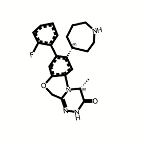 C[C@@H]1C(=O)NN=C2COc3cc(-c4ccccc4F)c([C@@H]4CCCNCC4)cc3N21